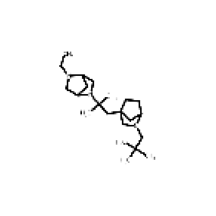 CCN1CC2CC1CN2C(C)(C)CC12CCC(C1)N(CC(C)(C)C)C2